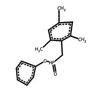 Cc1cc(C)c(C[PH](=O)Oc2ccccc2)c(C)c1